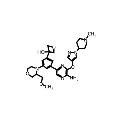 COCC1COCCN1c1cc(-c2cnc(N)c(Oc3cnn(C4CCN(C)CC4)c3)n2)cc(C2(O)COC2)c1